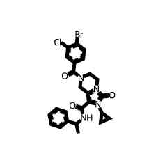 CC(NC(=O)c1c2n(c(=O)n1C1CC1)CCN(C(=O)c1ccc(Br)c(Cl)c1)C2)c1ccccc1